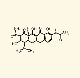 CC(=O)Nc1ccc2c(c1O)C(=O)C1=C(O)C3(O)C(=O)C(C(N)=O)=C(O)C(N(C)C)C3CC1C2